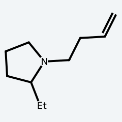 C=CCCN1CCCC1CC